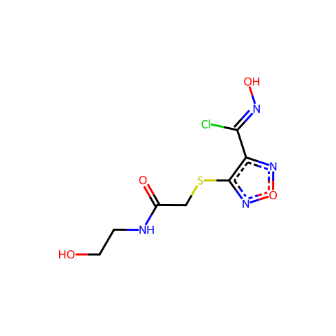 O=C(CSc1nonc1C(Cl)=NO)NCCO